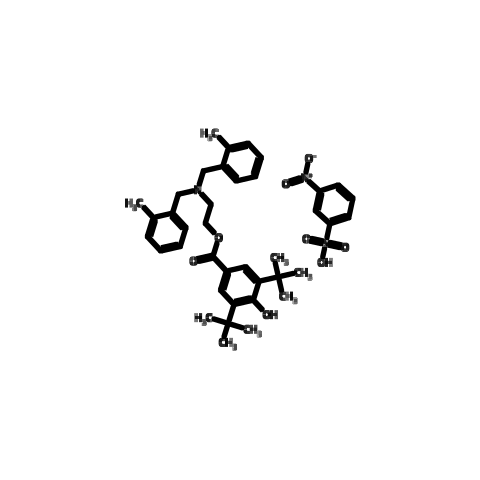 Cc1ccccc1CN(CCOC(=O)c1cc(C(C)(C)C)c(O)c(C(C)(C)C)c1)Cc1ccccc1C.O=[N+]([O-])c1cccc(S(=O)(=O)O)c1